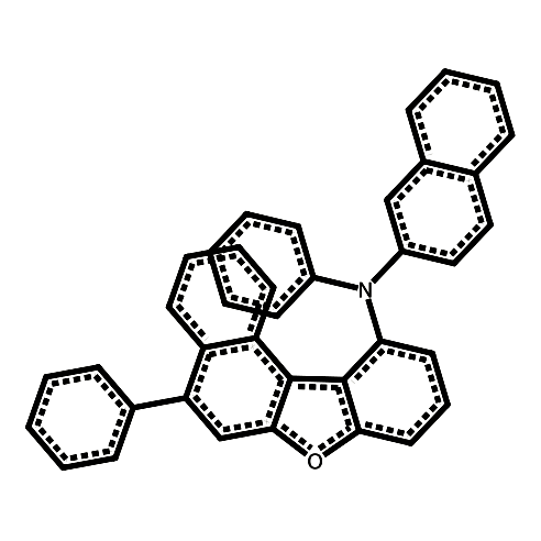 c1ccc(-c2cc3oc4cccc(N(c5ccccc5)c5ccc6ccccc6c5)c4c3c3ccccc23)cc1